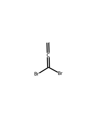 [CH]=C=C(Br)Br